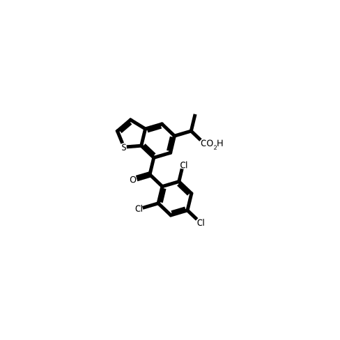 CC(C(=O)O)c1cc(C(=O)c2c(Cl)cc(Cl)cc2Cl)c2sccc2c1